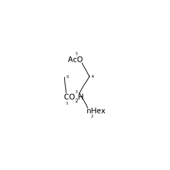 CC(=O)O.CCCCCCCCOC(C)=O